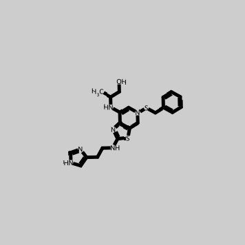 CC(CO)NC1=CN(SCc2ccccc2)Cc2sc(NCCc3c[nH]cn3)nc21